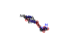 CCc1cc2c(cc1N1CCC(N3CCN(C(=O)COCCOCCNc4cccc5c4CN(C4CCC(=O)NC4=O)C5=O)CC3)CC1)C(C)(C)c1[nH]c3cc(C#N)ccc3c1C2=O